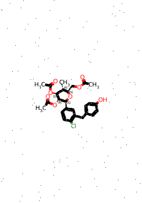 CC(=O)OC[C@H]1O[C@@H](c2ccc(Cl)c(Cc3ccc(O)cc3)c2)[C@H](OC(C)=O)[C@@H](OC(C)=O)[C@@H]1C